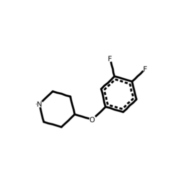 Fc1ccc(OC2CC[N]CC2)cc1F